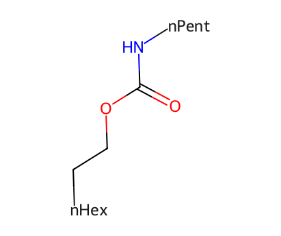 CCCCCCCCOC(=O)NCCCCC